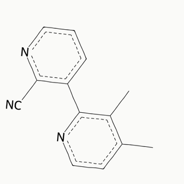 Cc1ccnc(-c2cccnc2C#N)c1C